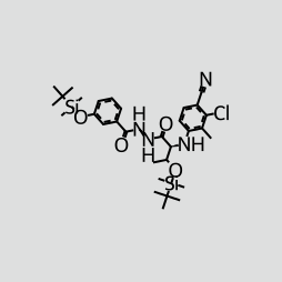 Cc1c(N[C@H](C(=O)NNC(=O)c2cccc(O[Si](C)(C)C(C)(C)C)c2)C(C)O[Si](C)(C)C(C)(C)C)ccc(C#N)c1Cl